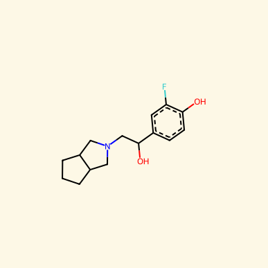 Oc1ccc(C(O)CN2CC3CCCC3C2)cc1F